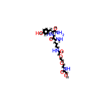 CN[C@@H](CCCCNC(=O)COCCOCCNC(=O)COC)C(=O)CN[C@@H](Cc1ccc(O)cc1)C(N)=O